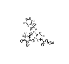 CC(C)(C)OC(=O)N1CCC(CCC(F)(F)c2ccccc2)CC1.CC1(C)C(=O)N(Br)C(=O)N1Br